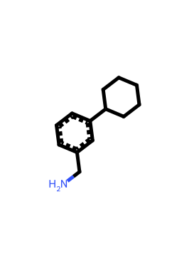 NCc1cccc(C2CCCCC2)c1